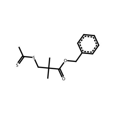 CC(=S)SCC(C)(C)C(=O)OCc1ccccc1